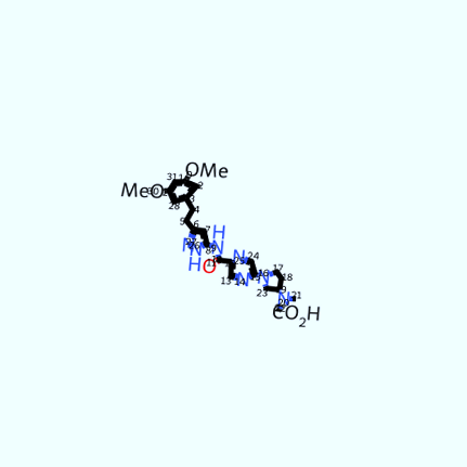 COc1cc(CCc2cc(NC(=O)c3cnc(N4CCC(N(C)C(=O)O)C4)cn3)[nH]n2)cc(OC)c1